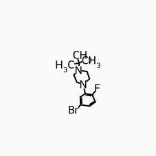 CC(C)(C)N1CCN(c2cc(Br)ccc2F)CC1